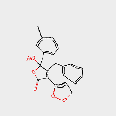 Cc1cccc(C2(O)OC(=O)C(C3=CCOO3)=C2Cc2ccccc2)c1